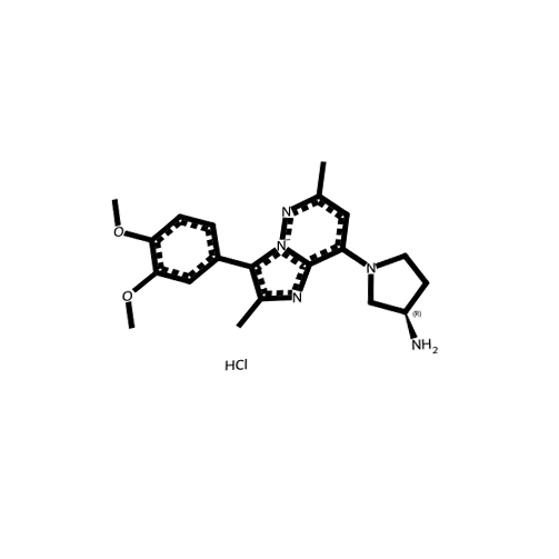 COc1ccc(-c2c(C)nc3c(N4CC[C@@H](N)C4)cc(C)nn23)cc1OC.Cl